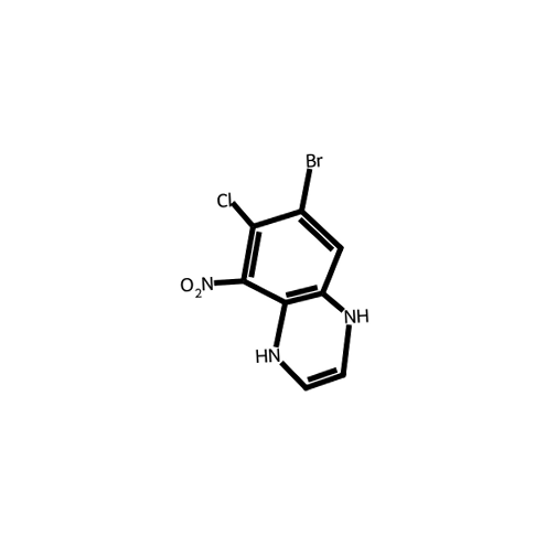 O=[N+]([O-])c1c(Cl)c(Br)cc2c1NC=CN2